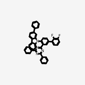 Fc1cccc(-c2ccc(-n3c4ccccc4c4ccc(-c5ccccc5)cc43)c(-c3nc(-c4ccccc4)nc(-c4ccccc4)n3)c2)c1F